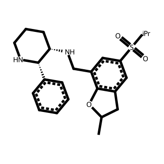 CC1Cc2cc(S(=O)(=O)C(C)C)cc(CN[C@H]3CCCN[C@H]3c3ccccc3)c2O1